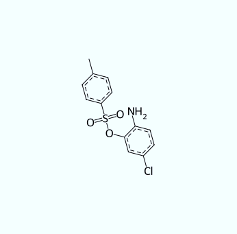 Cc1ccc(S(=O)(=O)Oc2cc(Cl)ccc2N)cc1